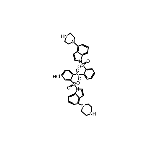 Cl.O=S(=O)(c1ccccc1S(=O)(=O)n1ccc2c(N3CCNCC3)cccc21)c1ccccc1S(=O)(=O)n1ccc2c(N3CCNCC3)cccc21